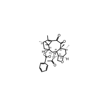 CC(=O)O[C@@]12CO[C@@H]1C[C@@H](C)[C@@]1(C)C(=O)C(=O)C3=C(C)[C@@H](C)C[C@@](O)([C@@H](OC(=O)c4ccccc4)[C@H]21)C3(C)C